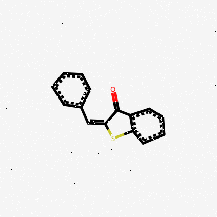 O=C1/C(=C\c2ccccc2)Sc2ccccc21